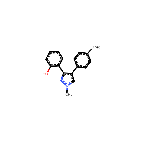 COc1ccc(-c2cn(C)nc2-c2ccccc2O)cc1